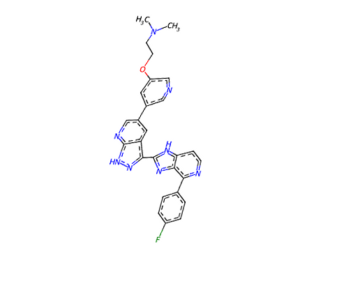 CN(C)CCOc1cncc(-c2cnc3[nH]nc(-c4nc5c(-c6ccc(F)cc6)nccc5[nH]4)c3c2)c1